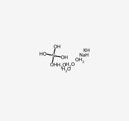 O.O.O.O.O[Si](O)(O)O.[KH].[NaH]